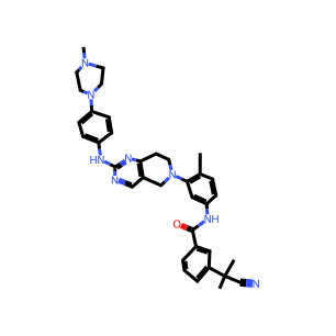 Cc1ccc(NC(=O)c2cccc(C(C)(C)C#N)c2)cc1N1CCc2nc(Nc3ccc(N4CCN(C)CC4)cc3)ncc2C1